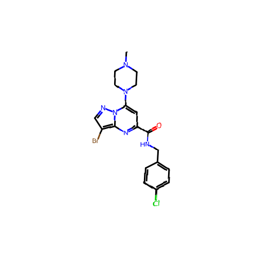 CN1CCN(c2cc(C(=O)NCc3ccc(Cl)cc3)nc3c(Br)cnn23)CC1